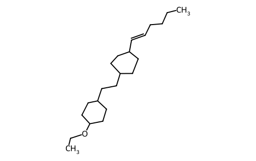 CCCCC=CC1CCC(CCC2CCC(OCC)CC2)CC1